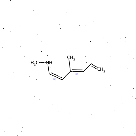 C=C/C=C(C)/C=C\NC